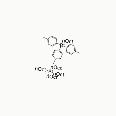 CCCCCCCC[B-](c1ccc(C)cc1)(c1ccc(C)cc1)c1ccc(C)cc1.CCCCCCCC[P+](CCCCCCCC)(CCCCCCCC)CCCCCCCC